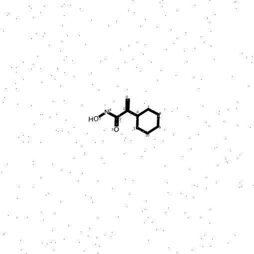 C=C(C(=O)[N]O)C1CCCCC1